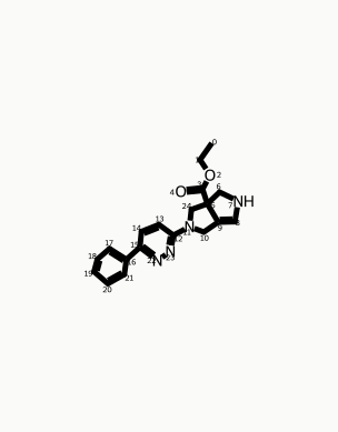 CCOC(=O)C12CNC=C1CN(c1ccc(-c3ccccc3)nn1)C2